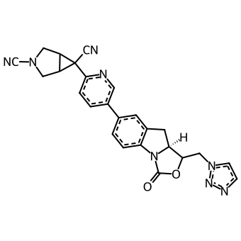 N#CN1CC2C(C1)C2(C#N)c1ccc(-c2ccc3c(c2)C[C@H]2C(Cn4ccnn4)OC(=O)N32)cn1